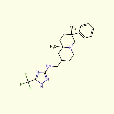 CC1(c2ccccc2)CCC2(C)CC(CNc3n[nH]c(C(F)(F)F)n3)CCN2C1